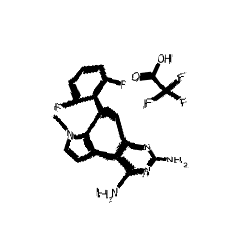 Cn1ccc2c3c(N)nc(N)nc3cc(-c3c(F)cccc3F)c21.O=C(O)C(F)(F)F